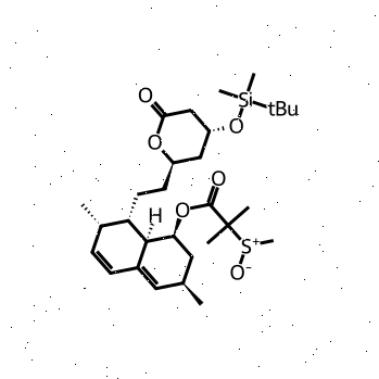 C[C@H]1C=C2C=C[C@H](C)[C@H](CC[C@@H]3C[C@@H](O[Si](C)(C)C(C)(C)C)CC(=O)O3)[C@H]2[C@@H](OC(=O)C(C)(C)[S+](C)[O-])C1